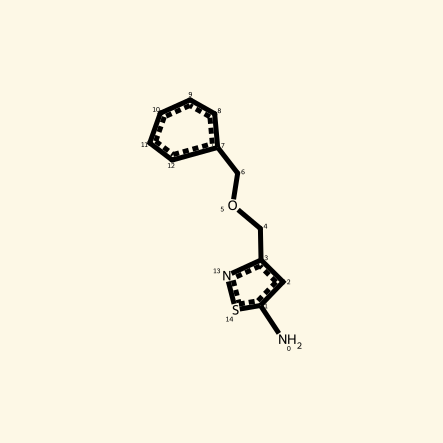 Nc1cc(COCc2ccccc2)ns1